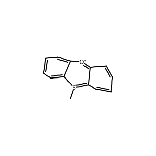 CS1=c2ccccc2=[O+]c2ccccc21